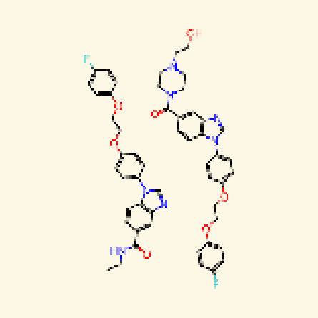 CCNC(=O)c1ccc2c(c1)ncn2-c1ccc(OCCOc2ccc(F)cc2)cc1.O=C(c1ccc2c(c1)ncn2-c1ccc(OCCOc2ccc(F)cc2)cc1)N1CCN(CCO)CC1